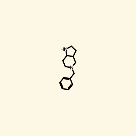 c1ccc(CN2CCC3NCCC3C2)cc1